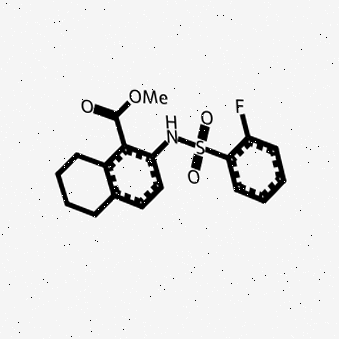 COC(=O)c1c(NS(=O)(=O)c2ccccc2F)ccc2c1CCCC2